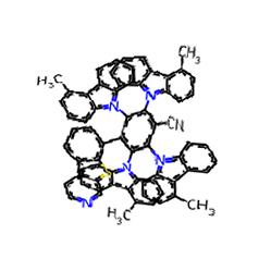 Cc1cccc2c1c1ccccc1n2-c1c(C#N)c(-n2c3ccccc3c3c(C)cccc32)c(-n2c3ccccc3c3c(C)cccc32)c(-c2cccc3c2sc2cnccc23)c1-n1c2ccccc2c2c(C)cccc21